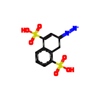 [N-]=[N+]=C1C=C(S(=O)(=O)O)c2cccc(S(=O)(=O)O)c2C1